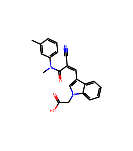 Cc1cccc(N(C)C(=O)C(C#N)=Cc2cn(CC(=O)O)c3ccccc23)c1